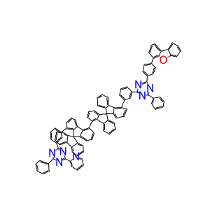 c1ccc(-c2nc(-c3ccc(-c4cccc5c4oc4ccccc45)cc3)nc(-c3cccc(-c4cccc5c4-c4ccccc4C54c5ccccc5-c5c(-c6cccc7c6-c6cccc(-c8cccc(-c9nc(-c%10ccccc%10)nc(-c%10ccccn%10)n9)c8)c6C76c7ccccc7-c7ccccc76)cccc54)c3)n2)cc1